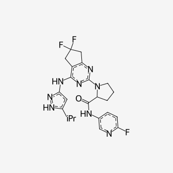 CC(C)c1cc(Nc2nc(N3CCCC3C(=O)Nc3ccc(F)nc3)nc3c2CC(F)(F)C3)n[nH]1